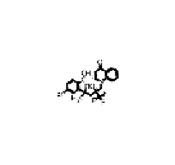 COc1ccc(Br)cc1C(C)(C)CC(O)(Cn1ccc(=O)c2ccccc21)C(F)(F)F